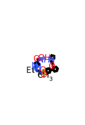 CCN(CCN(C)S(=O)(=O)c1ccc(-c2ccccc2OCCN2CCCC2)cc1)c1ncc(C(=O)NO)cn1